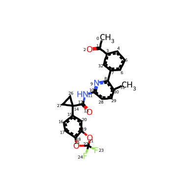 CC(=O)c1cccc(-c2nc(NC(=O)C3(c4ccc5c(c4)OC(F)(F)O5)CC3)ccc2C)c1